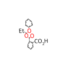 CCC(OC(=O)c1ccccc1C(=O)O)Oc1ccccc1